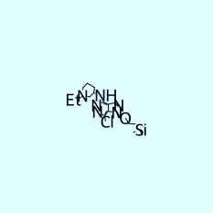 CCN1CCC[C@@H](Nc2nnc(Cl)c3c2cnn3COCC[Si](C)(C)C)C1